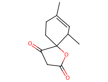 CC1=CC(C)C2(CC1)OC(=O)CC2=O